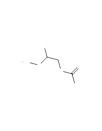 CCCC(=O)OCC(SSC)C(C)C